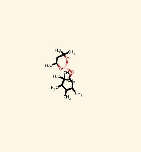 CC1CC(C)(C)OB(OCCC(C)C(C)C(C)C(C)(C)C)O1